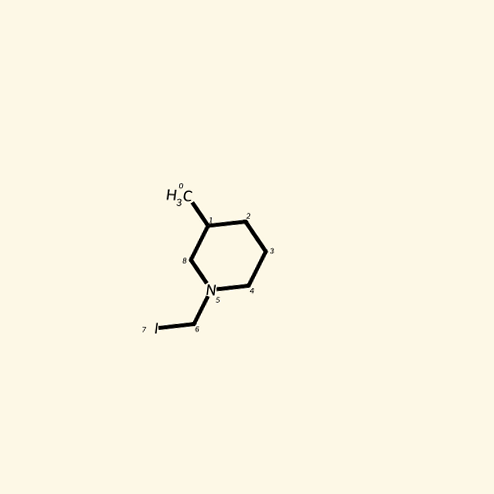 CC1CCCN(CI)C1